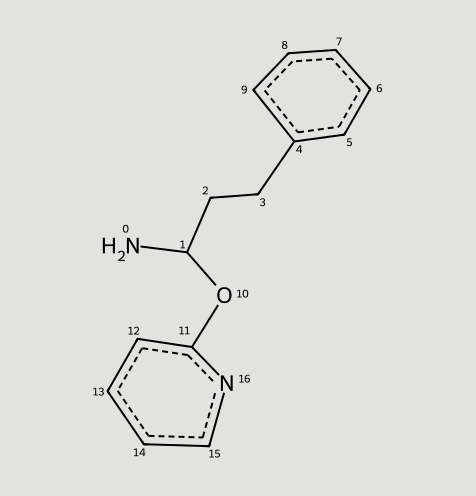 NC(CCc1ccccc1)Oc1ccccn1